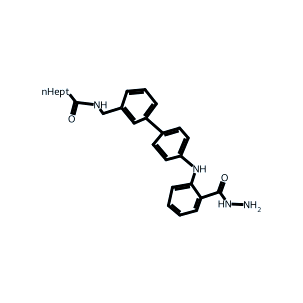 CCCCCCCC(=O)NCc1cccc(-c2ccc(Nc3ccccc3C(=O)NN)cc2)c1